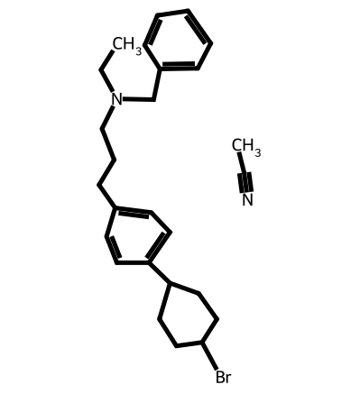 CC#N.CCN(CCCc1ccc(C2CCC(Br)CC2)cc1)Cc1ccccc1